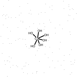 [OH][Cu]([OH])([OH])([OH])([OH])[OH]